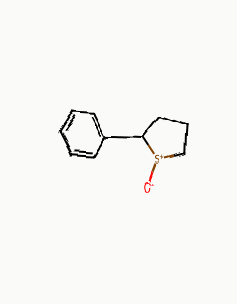 [O-][S+]1CCCC1c1ccccc1